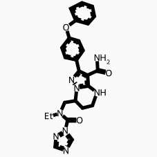 CCN(CC1CCNc2c(C(N)=O)c(-c3ccc(Oc4ccccc4)cc3)nn21)C(=O)n1cncn1